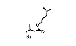 CC(CC(=O)OCCCN(C)C)CC(C)(C)C